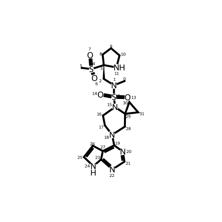 CN(C[C@@]1(S(C)(=O)=O)CCCN1)S(=O)(=O)N1CCN(c2ncnc3[nH]ccc23)CC12CC2